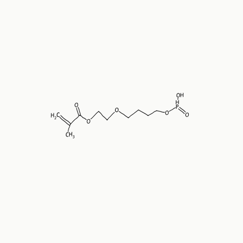 C=C(C)C(=O)OCCOCCCCO[PH](=O)O